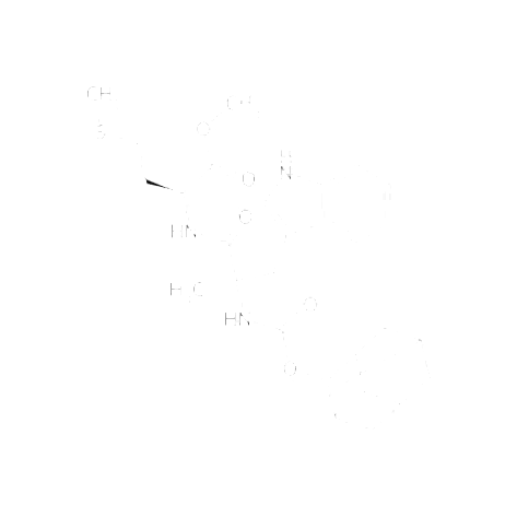 COC(=O)[C@H](CCSC)NC(=O)[C@@](C)(Cc1c[nH]c2ccccc12)NC(=O)OC1C2CC3CC(C2)CC1C3